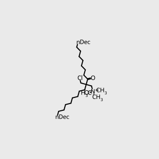 CCCCCCCCCCCCCCCCCC(=O)C(CCl)(C[N+](C)(C)C)C(=O)CCCCCCCCCCCCCCCCC